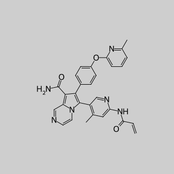 C=CC(=O)Nc1cc(C)c(-c2c(-c3ccc(Oc4cccc(C)n4)cc3)c(C(N)=O)c3cnccn23)cn1